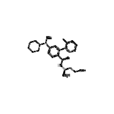 CSCC[C@H](NC(=O)c1ccc(C(SC)C2CCCCC2)cc1-c1ccccc1C)C(=O)O